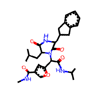 CNC(=O)c1coc(C(C(=O)NC(C)C)N2C(=O)C(C3Cc4ccccc4C3)NC(=O)C2CC(C)C)c1